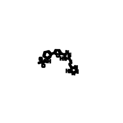 CS(=O)(=O)Nc1cccc(-c2ccc(-c3nnc(SCc4nnn[nH]4)[nH]3)o2)c1